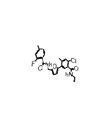 CCNC(=O)c1cc(-c2ccc(CNC(=O)c3ccc(C)cc3F)o2)c(C)cc1Cl